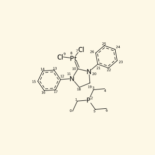 CCP(CC)CC.[Cl][Pt]([Cl])=[C]1N(c2ccccc2)CCN1c1ccccc1